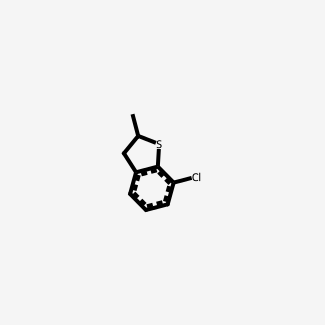 C[C]1Cc2cccc(Cl)c2S1